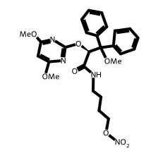 COc1cc(OC)nc(O[C@H](C(=O)NCCCCO[N+](=O)[O-])C(OC)(c2ccccc2)c2ccccc2)n1